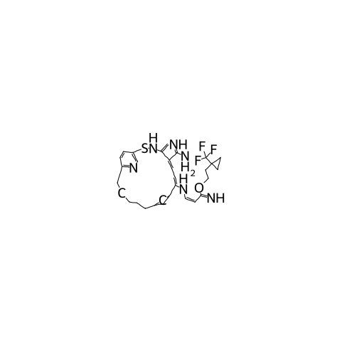 C=C1NSc2ccc(nc2)CCCCCC2CC(C2)/C(N/C=C\C(=N)OCCC2(C(F)(F)F)CC2)=C\C=C\1C(=N)N